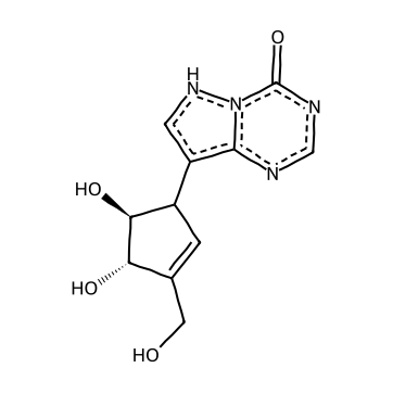 O=c1ncnc2c(C3C=C(CO)[C@H](O)[C@H]3O)c[nH]n12